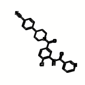 N#Cc1ccc(C2CCN(C(=O)c3ccc(Cl)c(NC(=O)c4cccnc4)c3)CC2)cc1